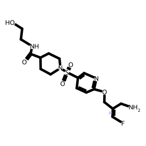 NC/C(=C\F)COc1ccc(S(=O)(=O)N2CCC(C(=O)NCCO)CC2)cn1